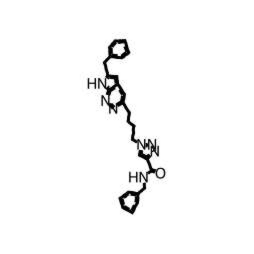 O=C(NCc1ccccc1)c1cn(CCCCc2cc3cc(Cc4ccccc4)[nH]c3nn2)nn1